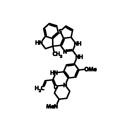 C=CC(=O)Nc1cc(NC2=NC(C3(C)CNc4ccccc43)=C3SC=CC3N2)c(OC)cc1N1CCC(NC)CC1